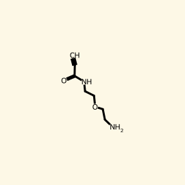 C#CC(=O)NCCOCCN